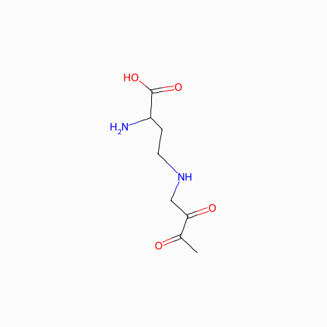 CC(=O)C(=O)CNCCC(N)C(=O)O